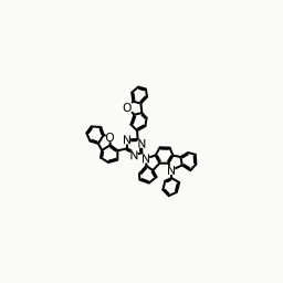 c1ccc(-n2c3ccccc3c3ccc4c(c5ccccc5n4-c4nc(-c5ccc6c(c5)oc5ccccc56)nc(-c5cccc6c5oc5ccccc56)n4)c32)cc1